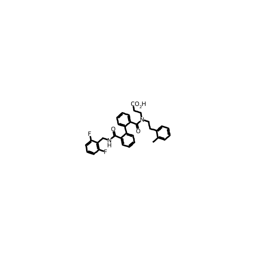 Cc1ccccc1CCN(CCC(=O)O)C(=O)c1ccccc1-c1ccccc1C(=O)NCc1c(F)cccc1F